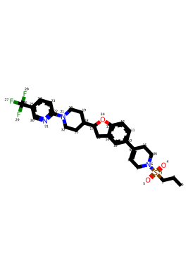 CCCS(=O)(=O)N1CC=C(c2ccc3c(c2)CC(C2CCN(c4ccc(C(F)(F)F)cn4)CC2)O3)CC1